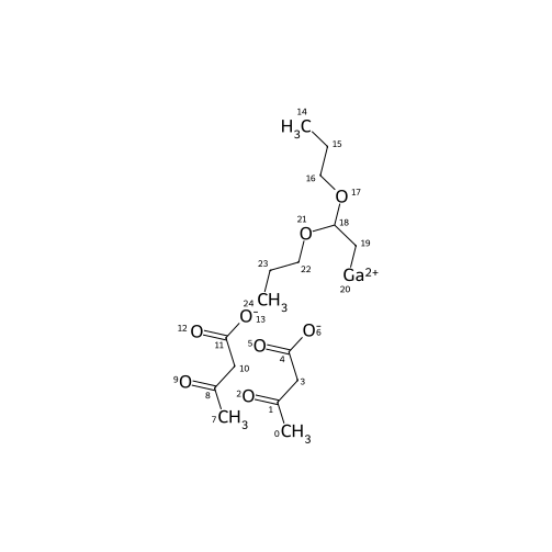 CC(=O)CC(=O)[O-].CC(=O)CC(=O)[O-].CCCOC([CH2][Ga+2])OCCC